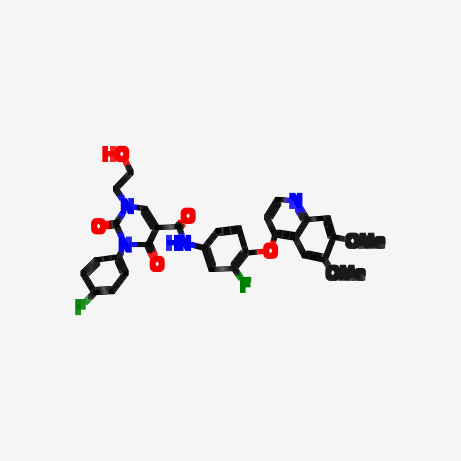 COc1cc2nccc(Oc3ccc(NC(=O)c4cn(CCO)c(=O)n(-c5ccc(F)cc5)c4=O)cc3F)c2cc1OC